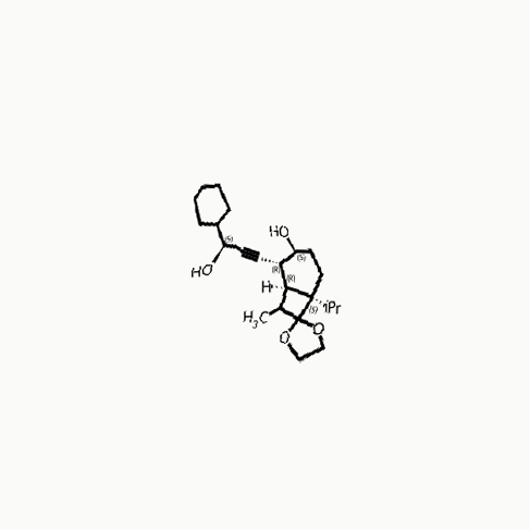 CC1[C@H]2[C@H](C#C[C@@H](O)C3CCCCC3)[C@@H](O)CC[C@@]2(C(C)C)C12OCCO2